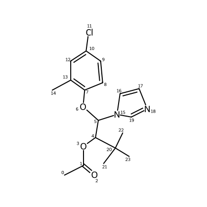 CC(=O)OC(C(Oc1ccc(Cl)cc1C)n1ccnc1)C(C)(C)C